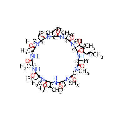 C=C(C)[C@@H]1NC(=O)[C@H](CC(C)C)N(C)C(=O)CN(C)C(=O)[C@H](C(C)C)NC(=O)[C@H](C(=O)[C@H](C)C/C=C/C)N(C)C(=O)[C@H](C(C)C)N(C)C(=O)[C@H](CC(C)C)N(C)C(=O)[C@H](CC(C)C)N(C)C(=O)[C@@H](C)NC(=O)[C@H](C)NC(=O)[C@H](CC(C)C)N(C)C1=O